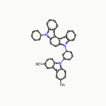 N#Cc1ccc2c(c1)c1cc(C#N)ccc1n2-c1cccc(-n2c3ccccc3c3c4c5ccccc5n(-c5ccccc5)c4ccc32)c1